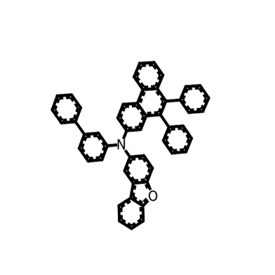 c1ccc(-c2cccc(N(c3ccc4c(c3)c(-c3ccccc3)c(-c3ccccc3)c3ccccc34)c3ccc4oc5ccccc5c4c3)c2)cc1